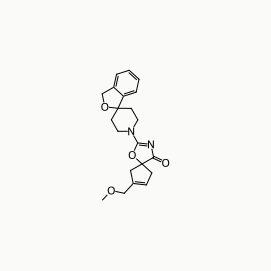 COCC1=CCC2(C1)OC(N1CCC3(CC1)OCc1ccccc13)=NC2=O